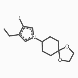 CCc1cn(C2CCC3(CC2)OCCO3)cc1I